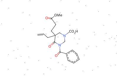 C=CCC1(CCC(=O)OC)CN(C(=O)O)CN(C(=O)c2ccccc2)C1=O